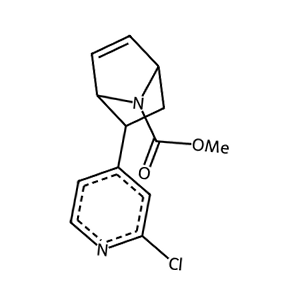 COC(=O)N1C2C=CC1C(c1ccnc(Cl)c1)C2